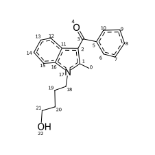 Cc1c(C(=O)c2ccccc2)c2ccccc2n1CCCCO